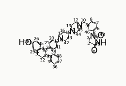 O=C1CCN(c2cccc(CN3CCN(C4CCN(c5ccc([C@@H]6c7ccc(O)cc7CC[C@@H]6c6ccccc6)cc5)CC4)CC3)c2)C(=O)N1